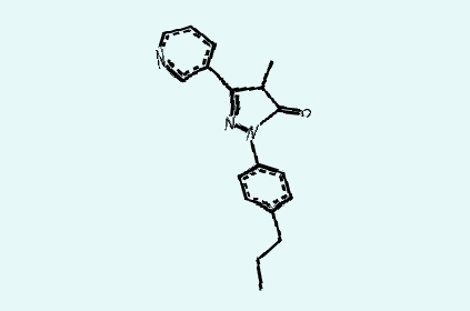 CCCc1ccc(N2N=C(c3cccnc3)C(C)C2=O)cc1